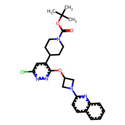 CC(C)(C)OC(=O)N1CCC(c2cc(Cl)nnc2OC2CN(c3ccc4ccccc4n3)C2)CC1